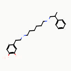 CC(CNCCCCCCNCCc1ccc(O)c(O)c1)c1ccccc1